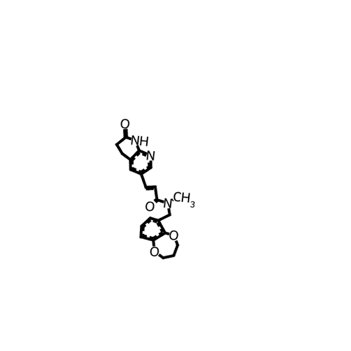 CN(Cc1cccc2c1OCCCO2)C(=O)C=Cc1cnc2c(c1)CCC(=O)N2